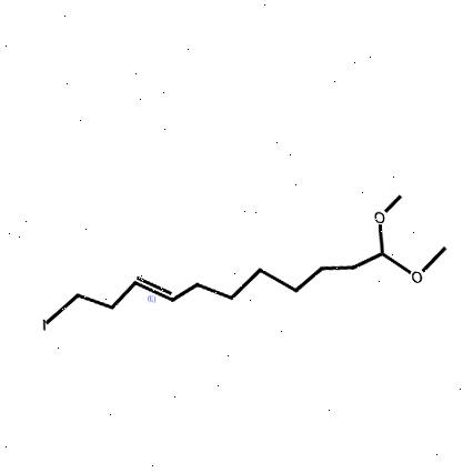 COC(CCCCCC/C=C/CCI)OC